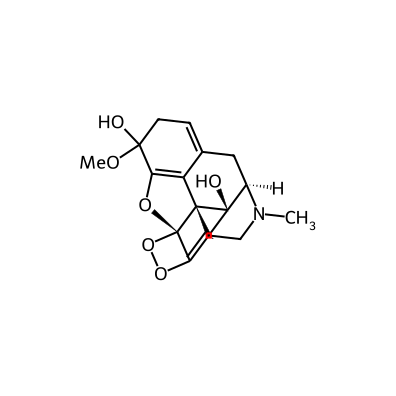 COC1(O)CC=C2C[C@H]3N(C)CC[C@]45C2=C1O[C@@]41OOC1=C=C[C@@]35O